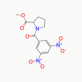 COC(=O)C1CCCN1C(=O)c1cc([N+](=O)[O-])cc([N+](=O)[O-])c1